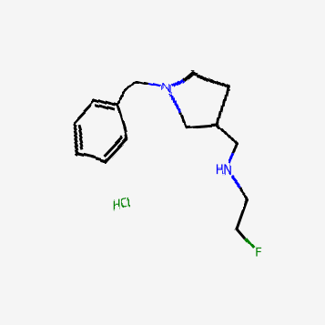 Cl.FCCNCC1CCN(Cc2ccccc2)C1